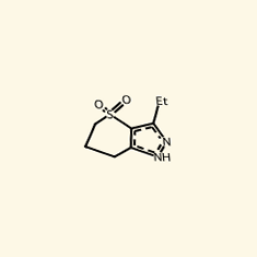 CCc1n[nH]c2c1S(=O)(=O)CCC2